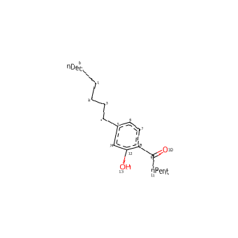 CCCCCCCCCCCCCCc1ccc(C(=O)CCCCC)c(O)c1